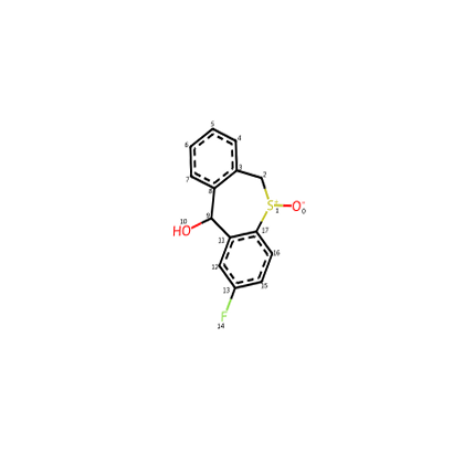 [O-][S+]1Cc2ccccc2C(O)c2cc(F)ccc21